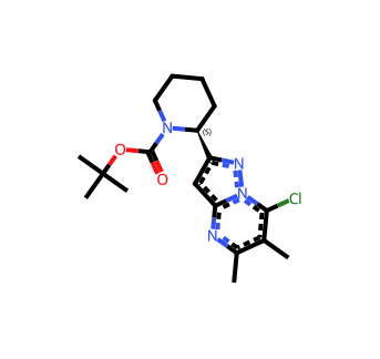 Cc1nc2cc([C@@H]3CCCCN3C(=O)OC(C)(C)C)nn2c(Cl)c1C